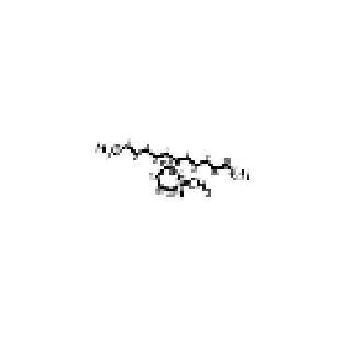 CCCCCCCCCCCCO.C[SiH]1CCCCO1